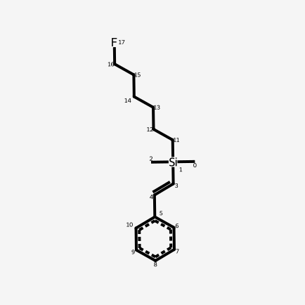 C[Si](C)(C=Cc1ccccc1)CCCCCCF